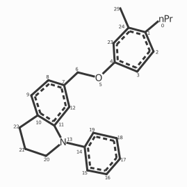 CCCc1ccc(OCc2ccc3c(c2)N(c2ccccc2)CCC3)cc1C